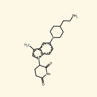 Cc1cn(C2CCC(=O)NC2=O)c2ccc(N3CCC(CCN)CC3)cc12